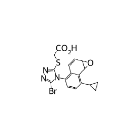 O=C(O)CSc1nnc(Br)n1-c1ccc(C2CC2)c2c1C=CC1OC21